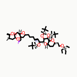 C=C(O)[C@H](C)CC1CC[C@@H]2OC(CCC/C=C/[C@H](O[Si](C)(C)C(C)(C)C)[C@@H]3O[C@H]4CC[C@H](CCO[Si](CC)(CC)CC)O[C@@H]4C(O[Si](C)(C)C(C)(C)C)C3O[Si](C)(C)C(C)(C)C)CC2(CI)O1